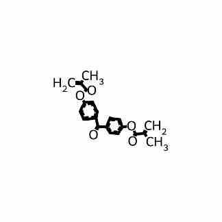 C=C(C)C(=O)Oc1ccc(C(=O)c2ccc(OC(=O)C(=C)C)cc2)cc1